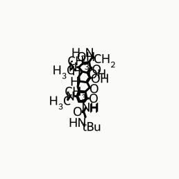 C=C(N)C1=C(O)C(N(C)C)[C@@H]2C[C@@H]3Cc4c(N(C)C)cc(NC(=O)CNC(C)(C)C)c(O)c4C(=O)C3=C(O)[C@]2(O)C1=O